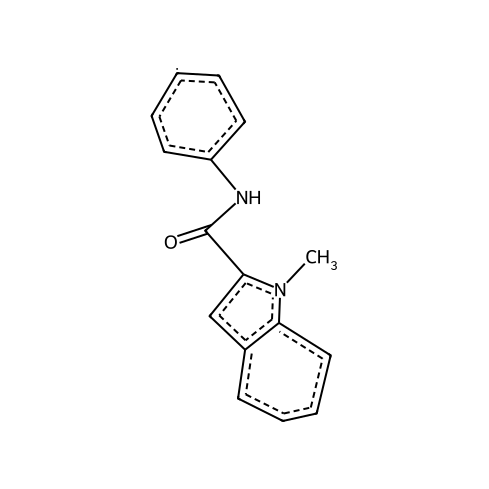 Cn1c(C(=O)Nc2cc[c]cc2)cc2ccccc21